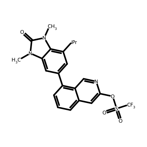 CC(C)c1cc(-c2cccc3cc(OS(=O)(=O)C(F)(F)F)ncc23)cc2c1n(C)c(=O)n2C